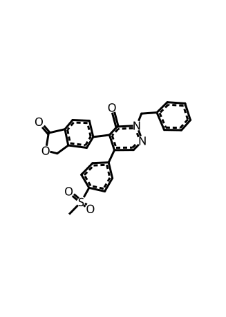 CS(=O)(=O)c1ccc(-c2cnn(Cc3ccccc3)c(=O)c2-c2ccc3c(c2)COC3=O)cc1